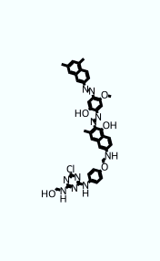 COc1cc(N=Nc2c(C)cc3cc(NCOc4ccc(Nc5nc(Cl)nc(NCO)n5)cc4)ccc3c2O)c(O)cc1N=Nc1ccc2c(C)cc(C)cc2c1